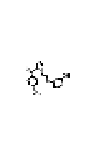 Cc1ccc(C(=O)c2cccn2CCOc2cccc(O)c2)cc1